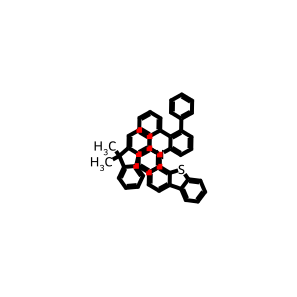 CC1(C)c2ccccc2-c2c(N(c3cccc(-c4ccccc4)c3-c3ccccc3-c3ccccc3)c3cccc4c3sc3ccccc34)cccc21